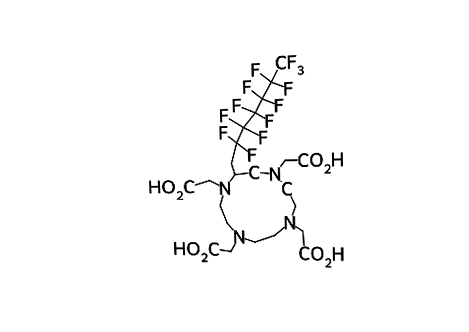 O=C(O)CN1CCN(CC(=O)O)CCN(CC(=O)O)C(CC(F)(F)C(F)(F)C(F)(F)C(F)(F)C(F)(F)C(F)(F)F)CN(CC(=O)O)CC1